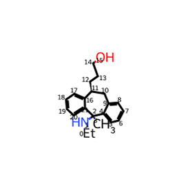 CCN[C@]1(C)c2ccccc2C[C@H](CCCO)c2ccccc21